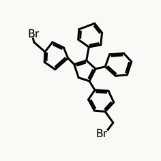 BrCc1ccc(C2=C(c3ccccc3)C(c3ccccc3)=C(c3ccc(CBr)cc3)C2)cc1